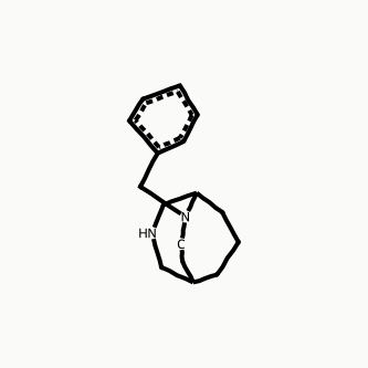 c1ccc(CN2CCC3CCCC2CNC3)cc1